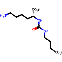 NCCCC[C@@H](NC(=O)NCCCC(=O)O)C(=O)O